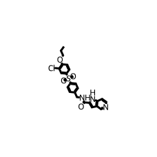 CCCOc1ccc(S(=O)(=O)c2ccc(CNC(=O)c3cc4cnccc4[nH]3)cc2)cc1Cl